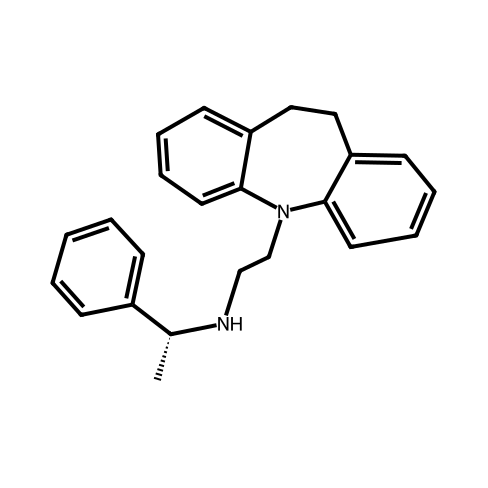 C[C@@H](NCCN1c2ccccc2CCc2ccccc21)c1ccccc1